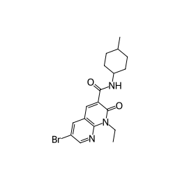 CCn1c(=O)c(C(=O)NC2CCC(C)CC2)cc2cc(Br)cnc21